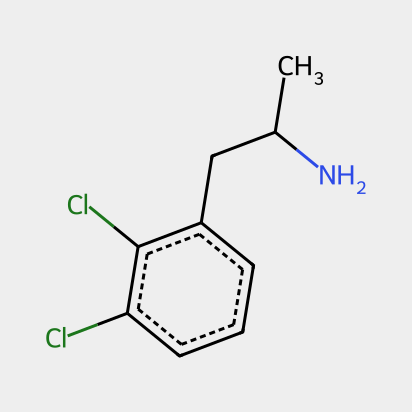 CC(N)Cc1cccc(Cl)c1Cl